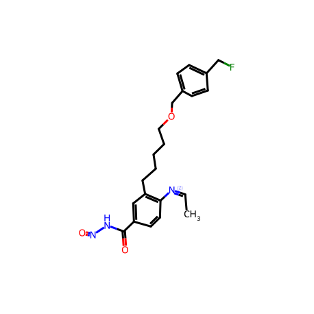 C/C=N\c1ccc(C(=O)NN=O)cc1CCCCCOCc1ccc(CF)cc1